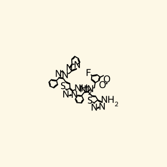 Nc1ncnc2sc(-c3c(-c4ccccc4)ncn3Cc3cc(F)cc4c3OCOC4)cc12.Nc1ncnc2sc(-c3c(-c4ccccc4)ncn3Cc3cn4ccccc4n3)cc12